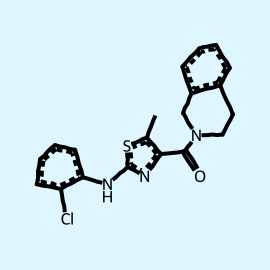 Cc1sc(Nc2ccccc2Cl)nc1C(=O)N1CCc2ccccc2C1